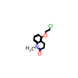 CN1C(=O)CCc2c(OCCCl)cccc21